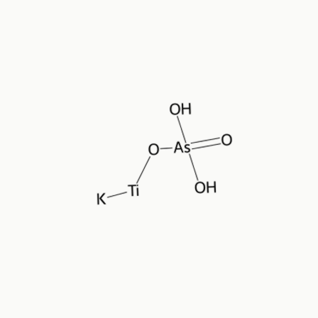 O=[As](O)(O)[O][Ti][K]